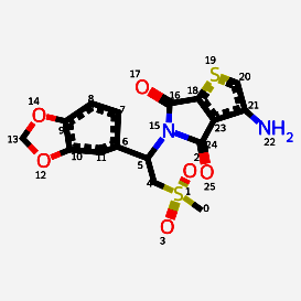 CS(=O)(=O)CC(c1ccc2c(c1)OCO2)N1C(=O)c2scc(N)c2C1=O